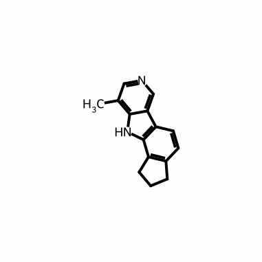 Cc1cncc2c1[nH]c1c3c(ccc12)CCC3